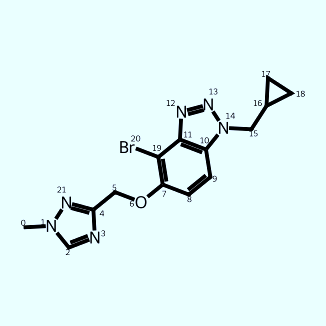 Cn1cnc(COc2ccc3c(nnn3CC3CC3)c2Br)n1